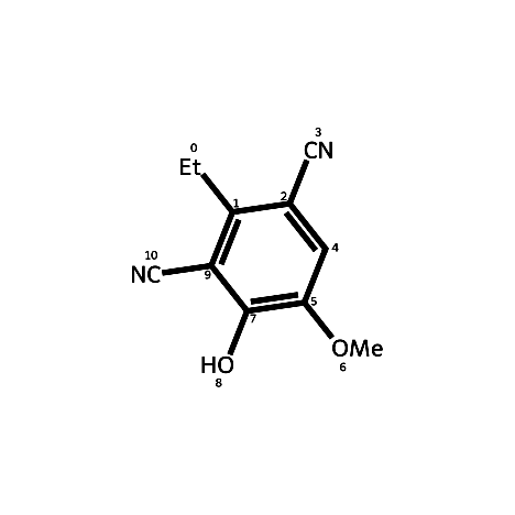 CCc1c(C#N)cc(OC)c(O)c1C#N